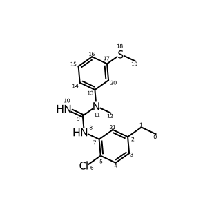 CCc1ccc(Cl)c(NC(=N)N(C)c2cccc(SC)c2)c1